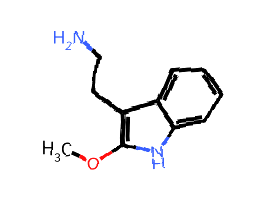 COc1[nH]c2ccccc2c1CCN